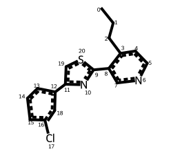 CCCc1ccncc1-c1nc(-c2cccc(Cl)c2)cs1